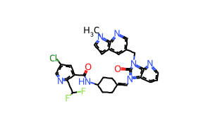 Cn1ccc2cc(Cn3c(=O)n(C=C4CCC(NC(=O)c5cc(Cl)cnc5C(F)F)CC4)c4cccnc43)cnc21